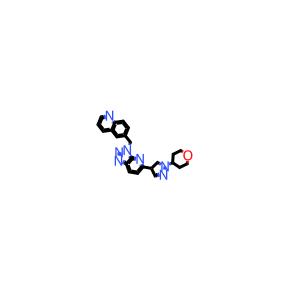 C1=NN(C2CCOCC2)CC1c1ccc2nnn(Cc3ccc4ncccc4c3)c2n1